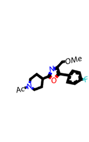 COCc1nc(C2CCN(C(C)=O)CC2)oc1-c1ccc(F)cc1